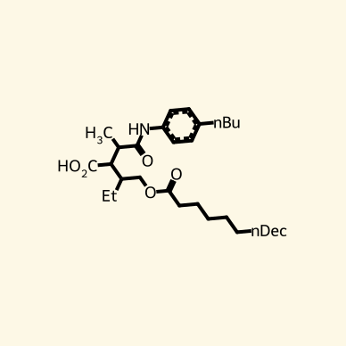 CCCCCCCCCCCCCCCC(=O)OCC(CC)C(C(=O)O)C(C)C(=O)Nc1ccc(CCCC)cc1